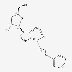 OC[C@@H]1C[C@@H](O)[C@H](n2cnc3c(NCSc4ccccc4)ncnc32)O1